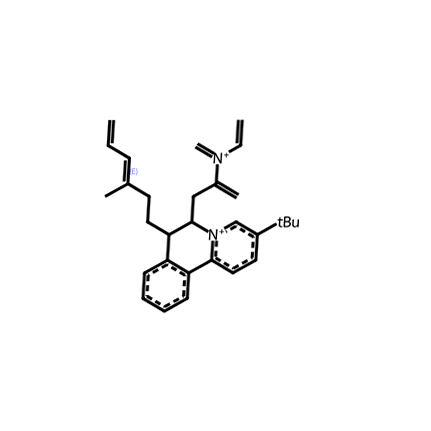 C=C/C=C(\C)CCC1c2ccccc2-c2ccc(C(C)(C)C)c[n+]2C1CC(=C)[N+](=C)C=C